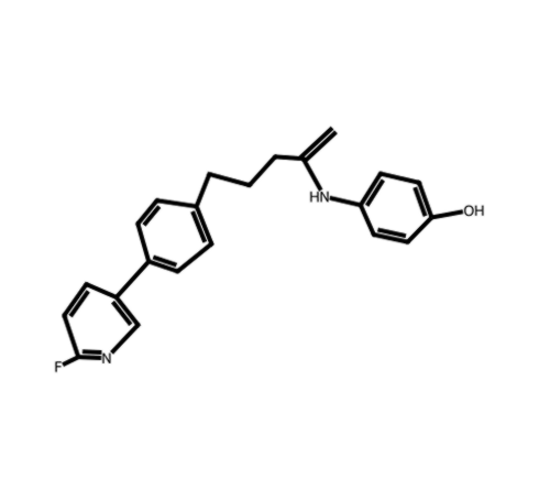 C=C(CCCc1ccc(-c2ccc(F)nc2)cc1)Nc1ccc(O)cc1